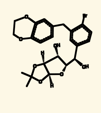 CC1(C)O[C@@H]2O[C@@H]([C@H](O)c3ccc(Br)c(Cc4ccc5c(c4)OCCO5)c3)[C@@H](O)[C@@H]2O1